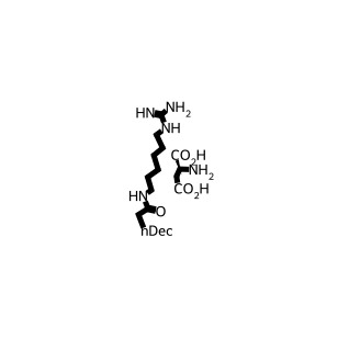 CCCCCCCCCCCC(=O)NCCCCCCNC(=N)N.N[C@@H](CC(=O)O)C(=O)O